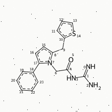 N=C(N)NC(=O)Cn1c(Cc2cccs2)ccc1-c1ccccc1